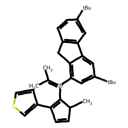 C[C](C)=[Zr]([C]1=C(c2ccsc2)C=CC1C)[c]1cc(C(C)(C)C)cc2c1Cc1ccc(C(C)(C)C)cc1-2